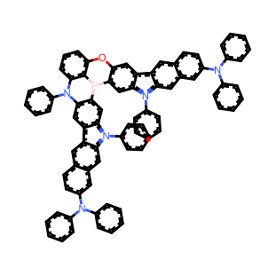 c1ccc(N(c2ccccc2)c2ccc3cc4c5cc6c(cc5n(-c5ccccc5)c4cc3c2)B2c3cc4c(cc3N(c3ccccc3)c3cccc(c32)O6)c2cc3ccc(N(c5ccccc5)c5ccccc5)cc3cc2n4-c2ccccc2)cc1